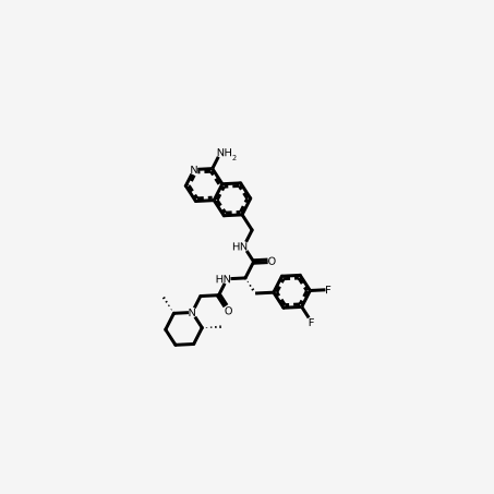 C[C@@H]1CCC[C@H](C)N1CC(=O)N[C@@H](Cc1ccc(F)c(F)c1)C(=O)NCc1ccc2c(N)nccc2c1